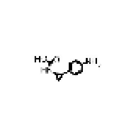 Nc1ccc(C2CC2NC(=O)O)cc1